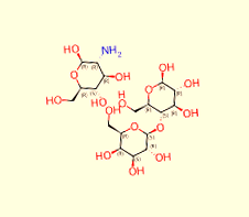 N[C@@H]1[C@@H](O)[C@H](O)[C@@H](CO)O[C@H]1O.OC[C@H]1O[C@@H](O[C@H]2[C@H](O)[C@@H](O)[C@H](O)O[C@@H]2CO)[C@H](O)[C@@H](O)[C@H]1O